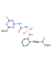 COC(=O)C#Cc1ccccc1NS(=O)(=O)NC(=O)Nc1nc(C)nc(OC)n1